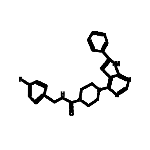 O=C(NCc1ccc(F)cc1)N1CCN(c2ncnc3[nH]c(-c4ccccc4)cc23)CC1